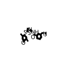 COc1cc(C)c(Sc2cnc(NC(=O)c3cccc(CN(C)C)c3)s2)cc1C